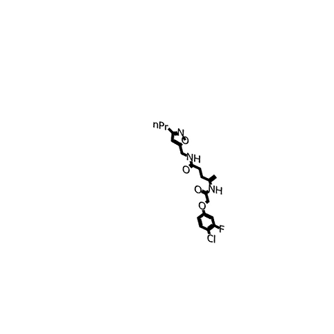 C=C(CCC(=O)NCc1cc(CCC)no1)NC(=O)COc1ccc(Cl)c(F)c1